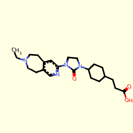 CCN1CCc2cnc(N3CCN(C4CCC(CCC(=O)O)CC4)C3=O)cc2CC1